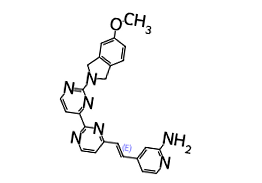 COc1ccc2c(c1)CN(c1nccc(-c3nccc(/C=C/c4ccnc(N)c4)n3)n1)C2